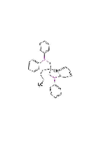 CCCCC(C)(CP(c1ccccc1)c1ccccc1)CP(c1ccccc1)c1ccccc1